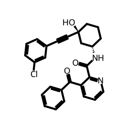 O=C(c1ccccc1)c1cccnc1C(=O)N[C@H]1CCC[C@@](O)(C#Cc2cccc(Cl)c2)C1